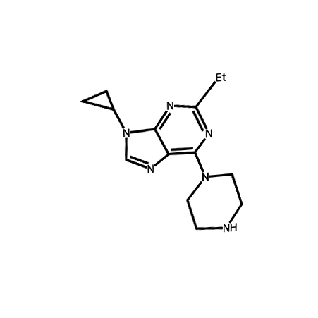 CCc1nc(N2CCNCC2)c2ncn(C3CC3)c2n1